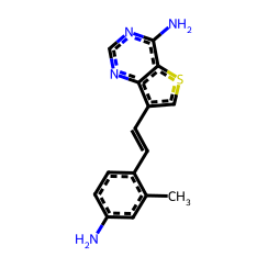 Cc1cc(N)ccc1C=Cc1csc2c(N)ncnc12